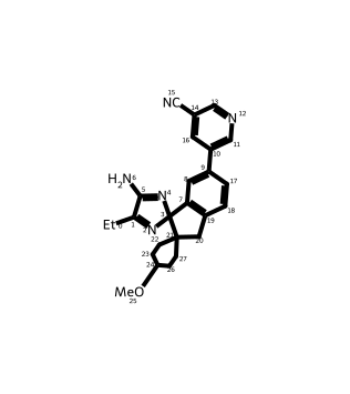 CCC1=NC2(N=C1N)c1cc(-c3cncc(C#N)c3)ccc1CC21CCC(OC)CC1